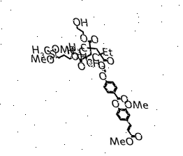 CCC(C)(CC(C)(CC(C)(C)C(=O)OCCC[Si](C)(OC)OC)C(=O)OCCO)C(=O)OCOc1ccc(C(=O)Oc2ccc(/C=C/C(=O)OC)cc2OC)cc1